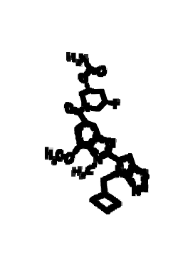 COc1cc(C(=O)N2C[C@H](F)C[C@@H](OC(N)=O)C2)cc2nc(-c3cc4scnc4n3CC3CCC3)n(C)c12